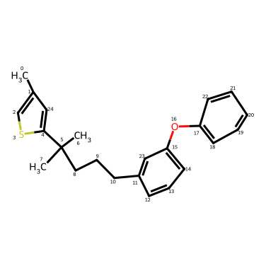 Cc1csc(C(C)(C)CCCc2cccc(Oc3ccccc3)c2)c1